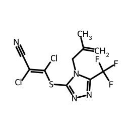 C=C(C)Cn1c(SC(Cl)=C(Cl)C#N)nnc1C(F)(F)F